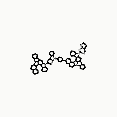 c1cnc2nc(-n3c4ccccc4c4c5c6c7ccc(-c8ccc(-n9c%10ccccc%10c%10cc(-n%11c%12ccccc%12c%12c%13c%14c%15ccccc%15ccc%14n%14c%15ccccc%15c(cc%12%11)c%13%14)cnc%109)cc8)cc7ccc6n6c7ccccc7c(cc43)c56)ncc2c1